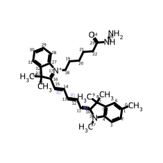 Cc1ccc2c(c1)C(C)(C)\C(=C/C=C/C=C/C1=[N+](CCCCCC(=O)NN)c3ccccc3C1(C)C)N2C